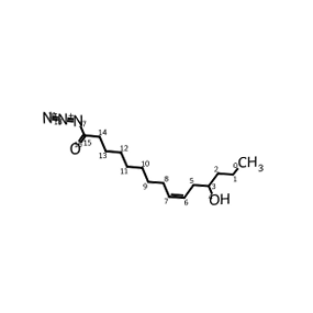 CCCC(O)C/C=C\CCCCCCCC(=O)N=[N+]=[N-]